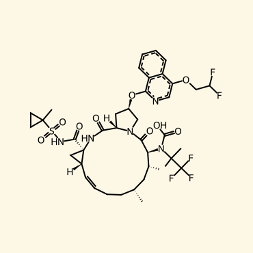 C[C@@H]1CC/C=C\[C@@H]2C[C@@]2(C(=O)NS(=O)(=O)C2(C)CC2)NC(=O)[C@@H]2C[C@@H](Oc3ncc(OCC(F)F)c4ccccc34)CN2C(=O)[C@@H](N(C(=O)O)C(C)(C)C(F)(F)F)[C@H](C)C1